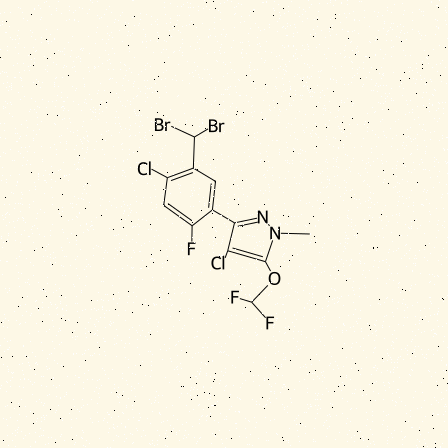 Cn1nc(-c2cc(C(Br)Br)c(Cl)cc2F)c(Cl)c1OC(F)F